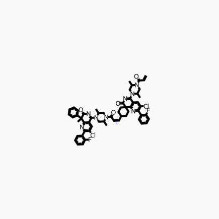 C=CC(=O)N1CC(C)N(C2=NC(=O)C3(CCC(/C=C\C(=O)N4CC(C)N(C5=NC(=O)C(C)(c6ccccc6)c6nc(-c7ccccc7F)c(Cl)cc65)CC4C)CC3)c3nc(-c4ccccc4F)c(Cl)cc32)CC1C